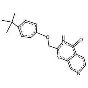 CC(C)(C)c1ccc(OCc2nc3cnccc3c(=O)[nH]2)cc1